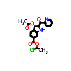 CC(=O)OC1c2ccc(C(=O)OC(C)Cl)cc2NC1C(=O)c1ccccn1